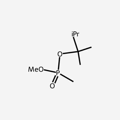 COP(C)(=O)OC(C)(C)C(C)C